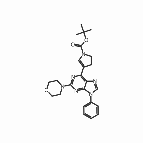 CC(C)(C)OC(=O)N1C=C(c2nc(N3CCOCC3)nc3c2ncn3-c2ccccc2)CC1